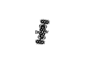 O=C1c2ccc3c4c(Br)cc5c6c(ccc(c7c(Br)cc(c2c37)C(=O)N1CCc1c2ccccc2cc2ccccc12)c64)C(=O)N(CCc1c2ccccc2cc2ccccc12)C5=O